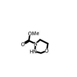 COC(=O)N1CCOCN1